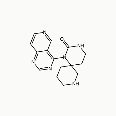 O=C1NCCC2(CCCNC2)N1c1ncnc2ccncc12